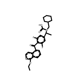 CCOc1nccc2c(C(=O)c3c(F)cc(C(C)N(CC4CCCCC4)C(=O)O)cc3F)cccc12